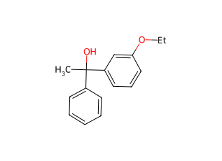 CCOc1cccc(C(C)(O)c2ccccc2)c1